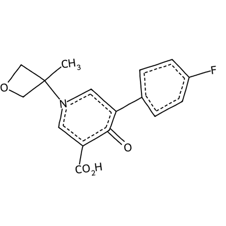 CC1(n2cc(C(=O)O)c(=O)c(-c3ccc(F)cc3)c2)COC1